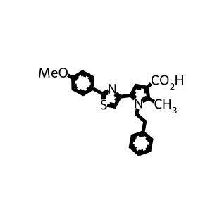 COc1ccc(-c2nc(-c3cc(C(=O)O)c(C)n3CCc3ccccc3)cs2)cc1